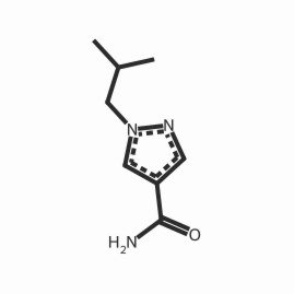 CC(C)Cn1cc(C(N)=O)cn1